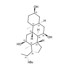 CCCC[C@H](C)[C@H]1CC[C@H]2[C@@H]3[C@H](O)C[C@@H]4C[C@H](O)CC[C@]4(C)[C@H]3C[C@H](O)[C@]12C